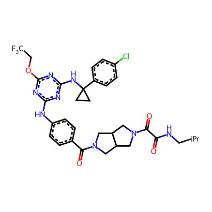 CC(C)CNC(=O)C(=O)N1CC2CN(C(=O)c3ccc(Nc4nc(NC5(c6ccc(Cl)cc6)CC5)nc(OCC(F)(F)F)n4)cc3)CC2C1